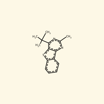 Cc1nc(C(C)(C)C)c2sc3ccccc3c2n1